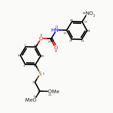 COC(CSc1cccc(OC(=O)Nc2cccc([N+](=O)[O-])c2)c1)OC